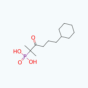 CC(C)(C(=O)CCCC1CCCCC1)P(=O)(O)O